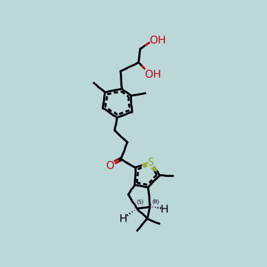 Cc1cc(CCC(=O)c2sc(C)c3c2C[C@H]2[C@@H]3C2(C)C)cc(C)c1CC(O)CO